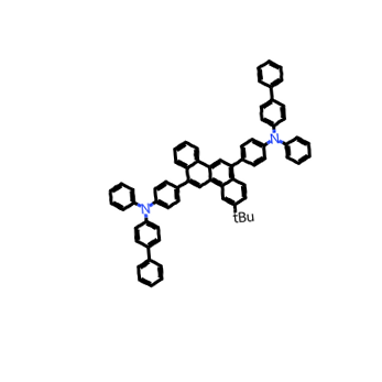 CC(C)(C)c1ccc2c(-c3ccc(N(c4ccccc4)c4ccc(-c5ccccc5)cc4)cc3)cc3c4ccccc4c(-c4ccc(N(c5ccccc5)c5ccc(-c6ccccc6)cc5)cc4)cc3c2c1